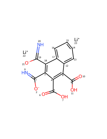 N=C([O-])c1c(C(=O)O)c(C(=O)O)c2ccccc2c1C(=N)[O-].[Li+].[Li+]